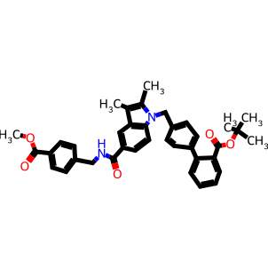 COC(=O)c1ccc(CNC(=O)c2ccc3c(c2)c(C)c(C)n3Cc2ccc(-c3ccccc3C(=O)OC(C)(C)C)cc2)cc1